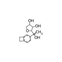 C[C@@](O)(c1ccc2c(c1)CC2)C1OCC(O)C1O